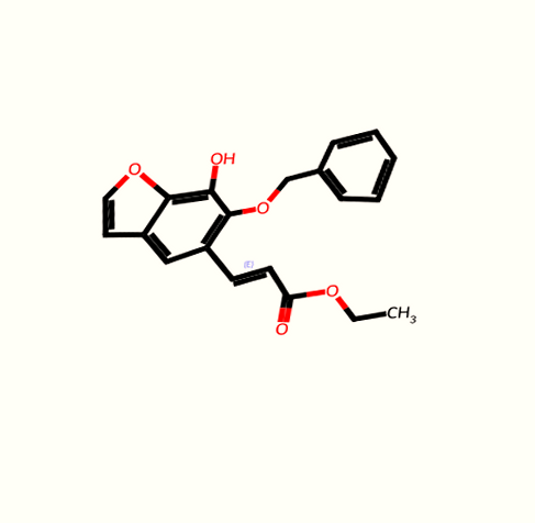 CCOC(=O)/C=C/c1cc2ccoc2c(O)c1OCc1ccccc1